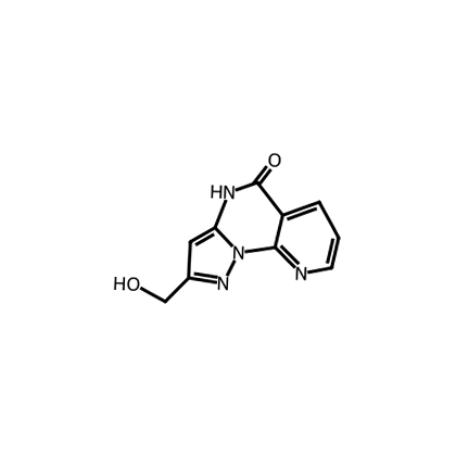 O=c1[nH]c2cc(CO)nn2c2ncccc12